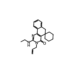 C=CCn1c(NCC)nc2c(c1=O)C1(CCCCC1)Cc1ccccc1-2